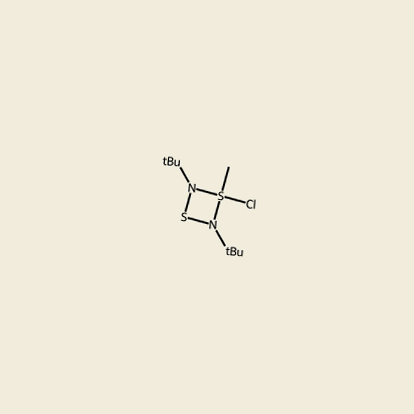 CC(C)(C)N1SN(C(C)(C)C)S1(C)Cl